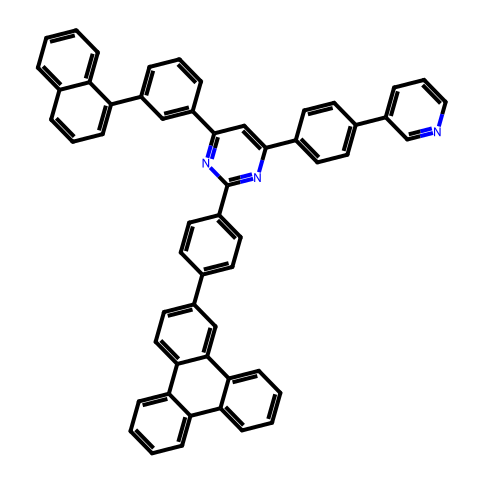 c1cncc(-c2ccc(-c3cc(-c4cccc(-c5cccc6ccccc56)c4)nc(-c4ccc(-c5ccc6c7ccccc7c7ccccc7c6c5)cc4)n3)cc2)c1